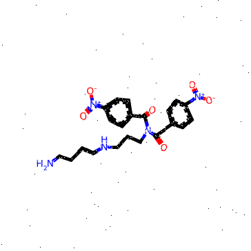 NCCCCNCCCN(C(=O)c1ccc([N+](=O)[O-])cc1)C(=O)c1ccc([N+](=O)[O-])cc1